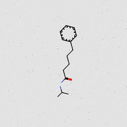 CC(C)NC(=O)CCCCc1ccccc1